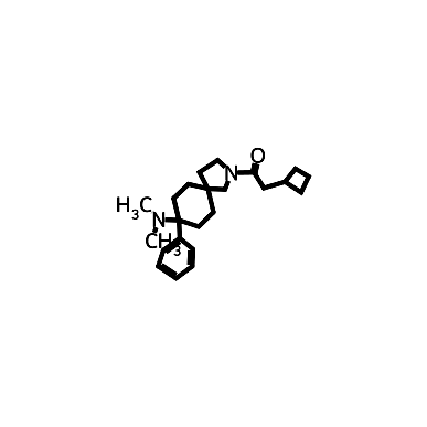 CN(C)C1(c2ccccc2)CCC2(CCN(C(=O)CC3CCC3)C2)CC1